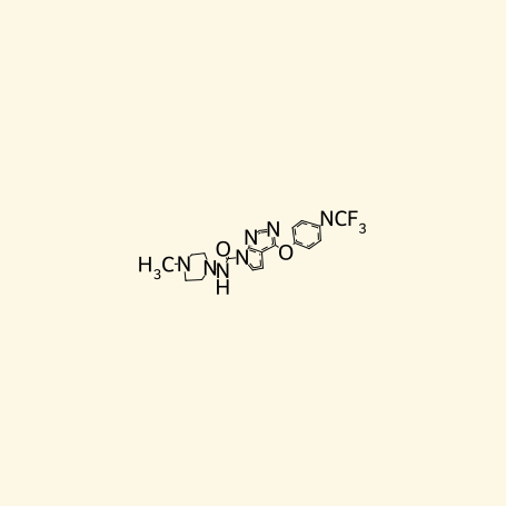 CN1CCN(NC(=O)n2ccc3c(Oc4ccc(NC(F)(F)F)cc4)ncnc32)CC1